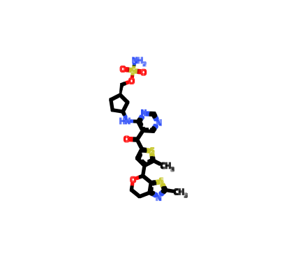 Cc1nc2c(s1)C(c1cc(C(=O)c3cncnc3NC3CC[C@@H](COS(N)(=O)=O)C3)sc1C)OCC2